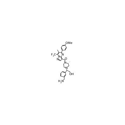 COc1ccc(-c2nc3c(C(=O)N4CCN(C(CO)c5cccc(CN)c5)C[C@H]4C)cnn3c(C(F)(F)F)c2C)cc1